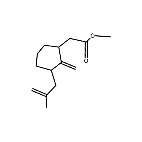 C=C(C)CC1CCCC(CC(=O)OC)C1=C